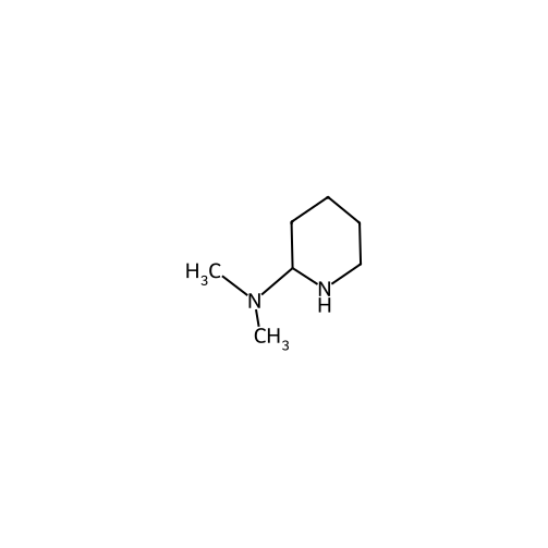 CN(C)C1CCCCN1